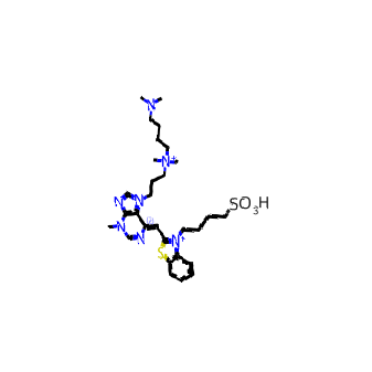 CN(C)CCCC[N+](C)(C)CCCn1cnc2c1/C(=C/c1sc3ccccc3[n+]1CCCCS(=O)(=O)O)N=CN2C